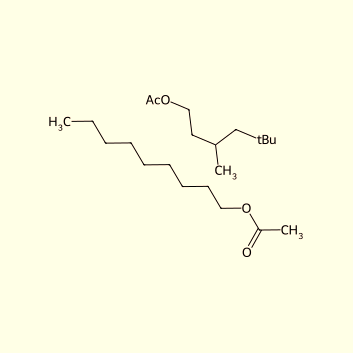 CC(=O)OCCC(C)CC(C)(C)C.CCCCCCCCCOC(C)=O